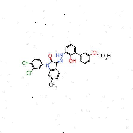 O=C(O)Oc1cccc(-c2cccc(NN=C3C(=O)N(c4ccc(Cl)c(Cl)c4)c4cc(C(F)(F)F)ccc43)c2O)c1